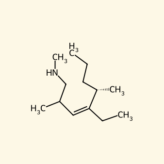 CCC[C@H](C)/C(=C\C(C)CNC)CC